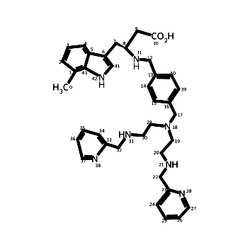 Cc1cccc2c(C[C@@H](CC(=O)O)NCc3ccc(CN(CCNCc4ccccn4)CCNCc4ccccn4)cc3)c[nH]c12